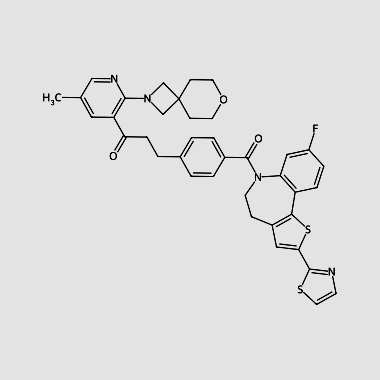 Cc1cnc(N2CC3(CCOCC3)C2)c(C(=O)CCc2ccc(C(=O)N3CCc4cc(-c5nccs5)sc4-c4ccc(F)cc43)cc2)c1